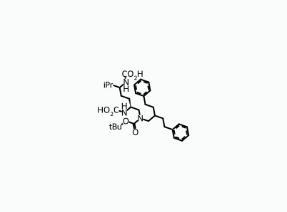 CC(C)C(CC[C@@H](CN(CC(CCc1ccccc1)CCc1ccccc1)C(=O)OC(C)(C)C)NC(=O)O)NC(=O)O